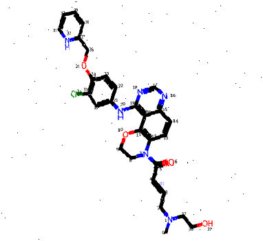 CN(C/C=C/C(=O)N1CCOc2c1ccc1ncnc(Nc3ccc(OCC4C=CC=CN4)c(Cl)c3)c21)CCO